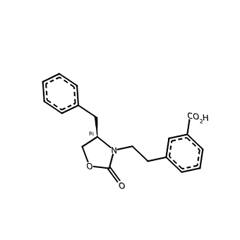 O=C(O)c1cccc(CCN2C(=O)OC[C@H]2Cc2ccccc2)c1